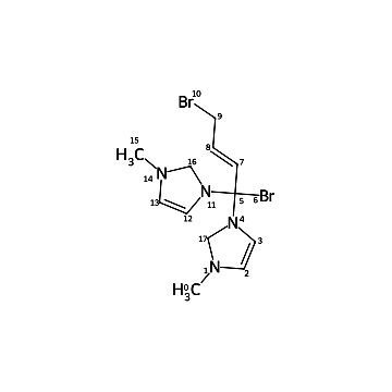 CN1C=CN(C(Br)(C=CCBr)N2C=CN(C)C2)C1